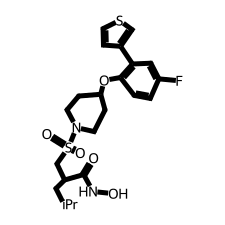 CC(C)CC(CS(=O)(=O)N1CCC(Oc2ccc(F)cc2-c2ccsc2)CC1)C(=O)NO